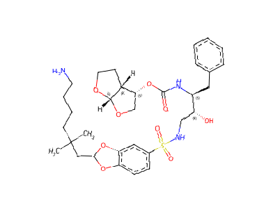 CC(C)(CCCCN)CC1Oc2ccc(S(=O)(=O)NC[C@@H](O)[C@H](Cc3ccccc3)NC(=O)O[C@@H]3CO[C@@H]4OCC[C@@H]43)cc2O1